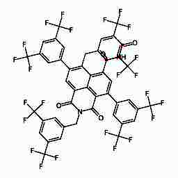 O=CNC(=O)c1cc(-c2cc(C(F)(F)F)cc(C(F)(F)F)c2)c2c3c(cc(-c4cc(C(F)(F)F)cc(C(F)(F)F)c4)c(Cc4cc(C(F)(F)F)cc(C(F)(F)F)c4)c13)C(=O)N(Cc1cc(C(F)(F)F)cc(C(F)(F)F)c1)C2=O